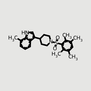 Cc1cc(C)c(C)c(S(=O)(=O)N2CCC(c3c[nH]c4c(C)cccc34)CC2)c1C